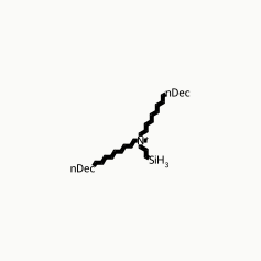 CCCCCCCCCCCCCCCCCCC[N+](C)(CCC[SiH3])CCCCCCCCCCCCCCCCCCC